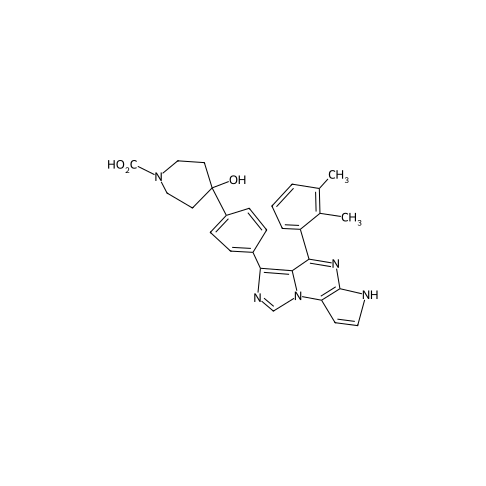 Cc1cccc(-c2nc3[nH]ccc3n3cnc(-c4ccc(C5(O)CCN(C(=O)O)CC5)cc4)c23)c1C